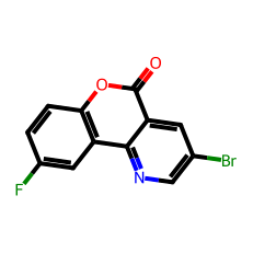 O=c1oc2ccc(F)cc2c2ncc(Br)cc12